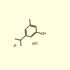 Cc1cc(O)cc(C(C)C)c1.Cl.[Zr]